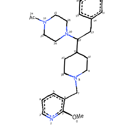 COc1ncccc1CN1CCC(C(Cc2ccccc2)N2CCN(C(C)=O)CC2)CC1